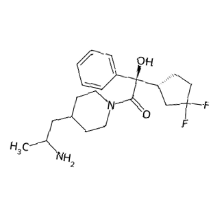 CC(N)CC1CCN(C(=O)[C@](O)(c2ccccc2)[C@@H]2CCC(F)(F)C2)CC1